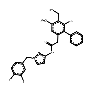 COc1cc(CC(=O)Nc2ccn(Cc3ccc(F)c(F)c3)n2)c(-c2ccccc2)c(C#N)c1CC(C)C